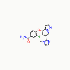 Cn1ccnc1-c1cc(Oc2ccc(C(N)=O)cc2F)c2ccnn2c1